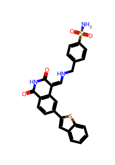 NS(=O)(=O)c1ccc(CNC=C2C(=O)NC(=O)c3ccc(-c4cc5ccccc5s4)cc32)cc1